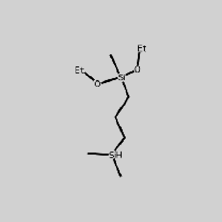 CCO[Si](C)(CCC[SiH](C)C)OCC